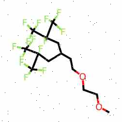 COCCOCCC(CC(F)(C(F)(F)F)C(F)(F)F)CC(F)(C(F)(F)F)C(F)(F)F